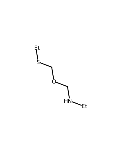 CCNCOCSCC